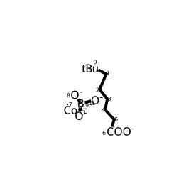 CC(C)(C)CCCCCC(=O)[O-].[Co+4].[O-]B([O-])[O-]